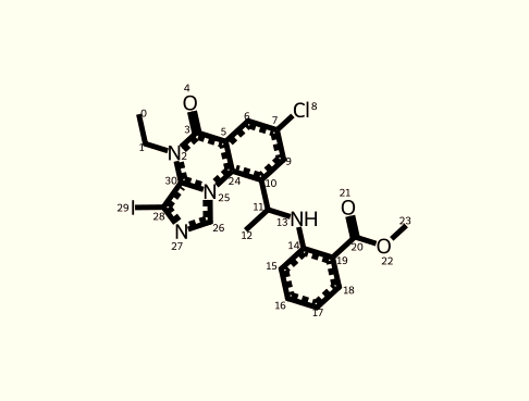 CCn1c(=O)c2cc(Cl)cc(C(C)Nc3ccccc3C(=O)OC)c2n2cnc(I)c12